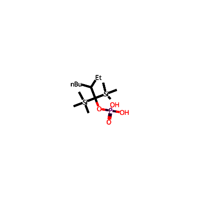 CCCCC(CC)C(OP(=O)(O)O)([Si](C)(C)C)[Si](C)(C)C